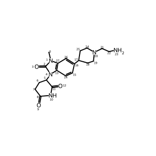 Cn1c(=O)n(C2CCC(=O)NC2=O)c2ccc(C3CCN(CCN)CC3)cc21